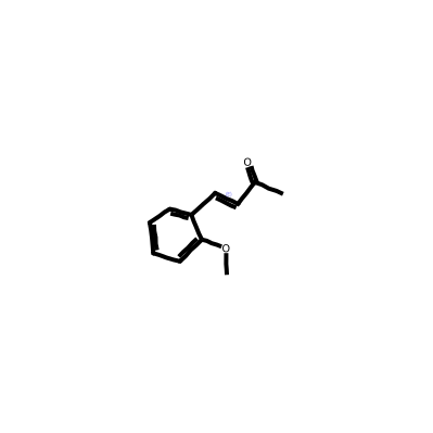 COc1ccccc1/C=C/C(C)=O